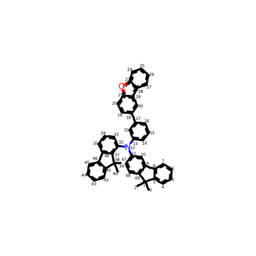 CC1(C)c2ccccc2-c2cc(N(c3cccc(-c4ccc5oc6ccccc6c5c4)c3)c3cccc4c3C(C)(C)c3ccccc3-4)ccc21